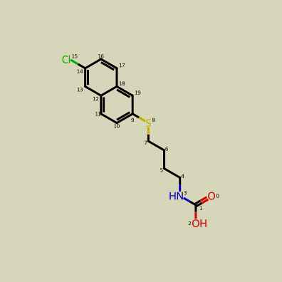 O=C(O)NCCCCSc1ccc2cc(Cl)ccc2c1